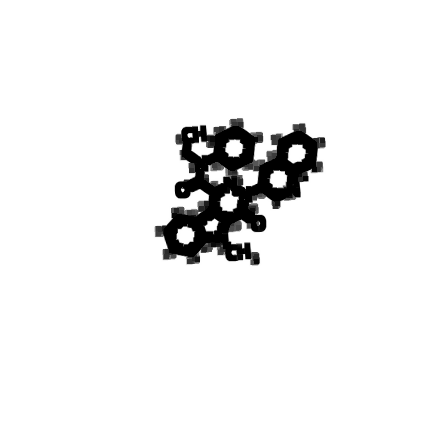 CCN(C(=O)c1nn(-c2cnc3ccccc3c2)c(=O)c2c1c1ccccc1n2C)c1ccccc1